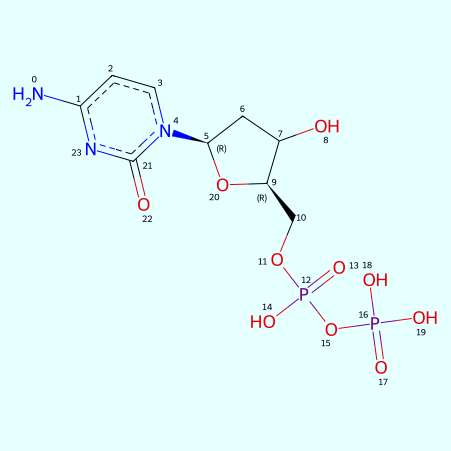 Nc1ccn([C@H]2CC(O)[C@@H](COP(=O)(O)OP(=O)(O)O)O2)c(=O)n1